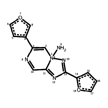 N[N+]12C=C(c3ccoc3)N=CC1=NC(c1ccco1)=N2